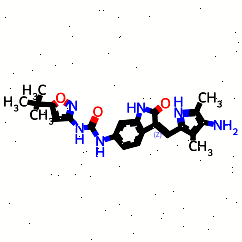 Cc1[nH]c(/C=C2\C(=O)Nc3cc(NC(=O)Nc4cc(C(C)(C)C)on4)ccc32)c(C)c1N